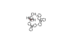 CC12C[C@@H]3C=C[C@@H](C1)CC(c1cccc(N(c4ccccc4)c4ccc(-c5cccc(-n6c7ccccc7c7c8ccccc8ccc76)c5)cc4)c1)(C3)C2